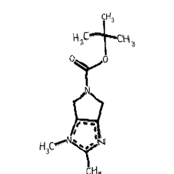 Cc1nc2c(n1C)CN(C(=O)OC(C)(C)C)C2